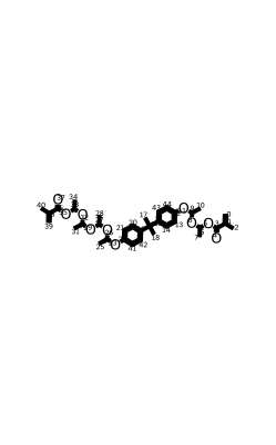 C=C(C)C(=O)OC(C)OC(C)Oc1ccc(C(C)(C)c2ccc(OC(C)OC(C)OC(C)OC(C)OC(=O)C(=C)C)cc2)cc1